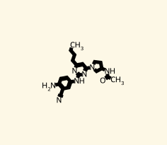 CCCCc1cc(N2CCC(NC(C)=O)C2)nc(Nc2ccc(N)c(C#N)c2)n1